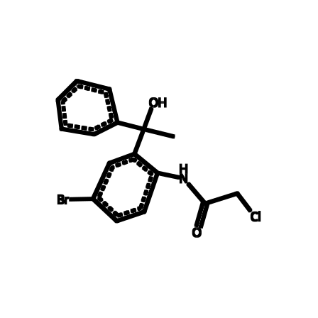 CC(O)(c1ccccc1)c1cc(Br)ccc1NC(=O)CCl